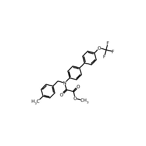 COC(=O)C(=O)N(Cc1ccc(C)cc1)c1ccc(-c2ccc(OC(F)(F)F)cc2)cc1